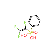 O=S(O)(O)(C(F)=C(F)F)c1ccccc1